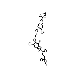 CCOC(=O)CCC(=O)c1cc2c(F)c(OCCCOc3cc4c(cc3OC)CN(C(=O)OC(C)(C)C)C4)c(OC)cc2s1